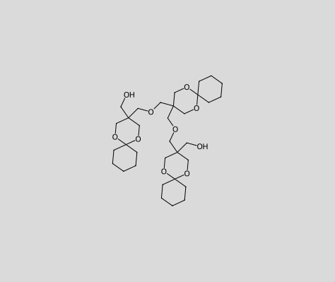 OCC1(COCC2(COCC3(CO)COC4(CCCCC4)OC3)COC3(CCCCC3)OC2)COC2(CCCCC2)OC1